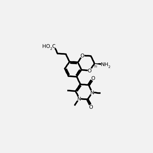 Cc1c(-c2ccc(CCC(=O)O)c3c2O[C@H](N)CO3)c(=O)n(C)c(=O)n1C